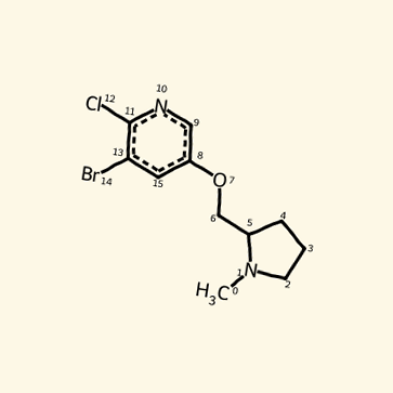 CN1CCCC1COc1cnc(Cl)c(Br)c1